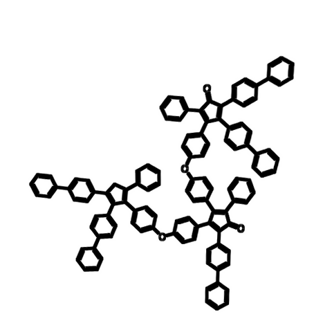 O=C1C(c2ccccc2)=C(c2ccc(Oc3ccc(C4=C(c5ccccc5)C(=O)C(c5ccc(-c6ccccc6)cc5)=C4c4ccc(-c5ccccc5)cc4)cc3)cc2)C(c2ccc(Oc3ccc(C4=C(c5ccccc5)CC(c5ccc(-c6ccccc6)cc5)=C4c4ccc(-c5ccccc5)cc4)cc3)cc2)=C1c1ccc(-c2ccccc2)cc1